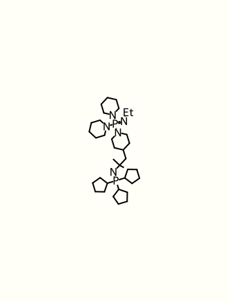 CCN=P(N1CCCCC1)(N1CCCCC1)N1CCC(CC(C)(C)N=P(C2CCCC2)(C2CCCC2)C2CCCC2)CC1